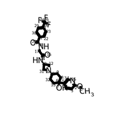 COc1ccc(C2(O)CCC(N3CC(NC(=O)CNC(=O)c4ccc(C(F)(F)F)cc4)C3)CC2)cn1